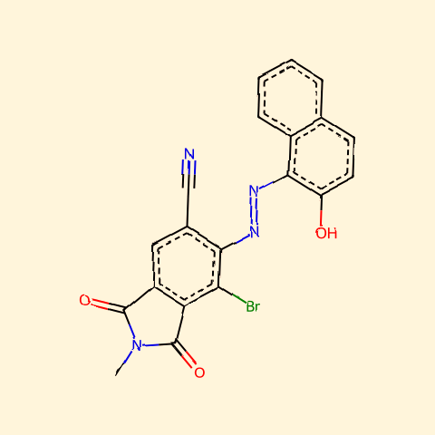 CN1C(=O)c2cc(C#N)c(/N=N/c3c(O)ccc4ccccc34)c(Br)c2C1=O